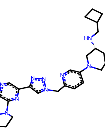 c1cc(Cn2cc(-c3cncc(N4CCCC4)n3)nn2)ncc1N1CCC[C@@H](NCC2CCC2)C1